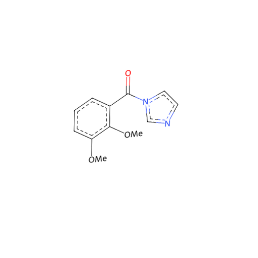 COc1cccc(C(=O)n2ccnc2)c1OC